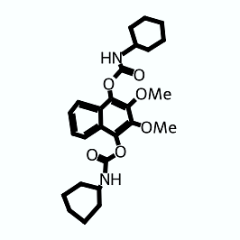 COc1c(OC)c(OC(=O)NC2CCCCC2)c2ccccc2c1OC(=O)NC1CCCCC1